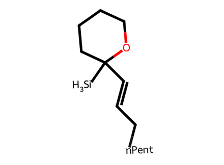 CCCCCCC=CC1([SiH3])CCCCO1